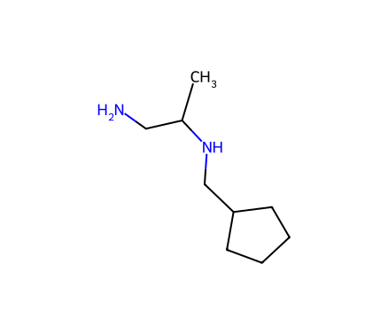 CC(CN)NCC1CCCC1